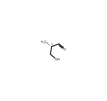 C[C@H](C=O)CO